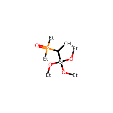 CCO[Si](OCC)(OCC)C(C)P(=O)(CC)CC